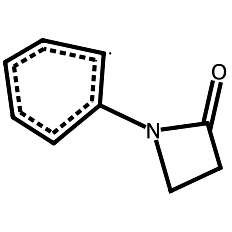 O=C1CCN1c1[c]cccc1